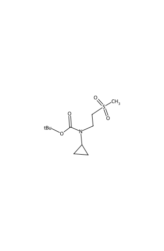 CC(C)(C)OC(=O)N(CCS(C)(=O)=O)C1CC1